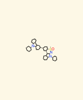 CS1(=O)=Nc2c(c3ccccc3n2-c2ccccc2)-c2cc(-c3ccc4c(c3)c3ccccc3n4-c3ccccc3)ccc21